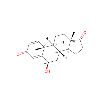 C[C@]12C=CC(=O)C=C1[C@H](O)C[C@@H]1[C@@H]2CC[C@]2(C)C(=O)CC[C@@H]12